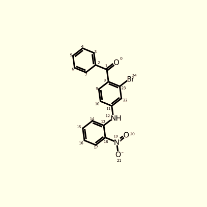 O=C(c1ccccc1)c1ccc(Nc2ccccc2[N+](=O)[O-])cc1Br